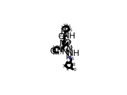 Cc1cccc(/C=N/Nc2nc(N3CCOCC3)c3nc(C(=O)Nc4ccccn4)oc3n2)c1